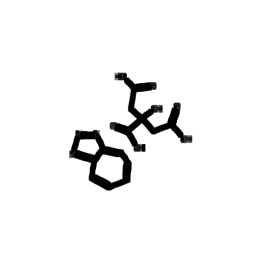 O=C(O)CC(O)(CC(=O)O)C(=O)O.c1ccc2nnnc-2cc1